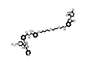 C[C@@H](NC(=O)c1cccc(NC2(c3nnc(-c4ccncc4)[nH]3)CCN(C)CC2)c1)c1cccc(OCCCCCOCCCOCCNc2ccc3c(c2)CN(C2CCC(=O)NC2=O)C3=O)c1